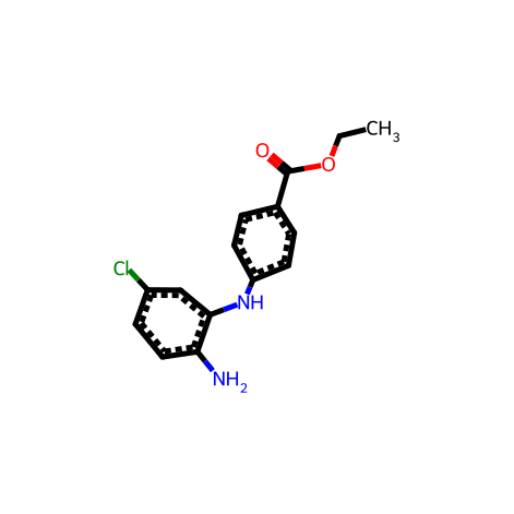 CCOC(=O)c1ccc(Nc2cc(Cl)ccc2N)cc1